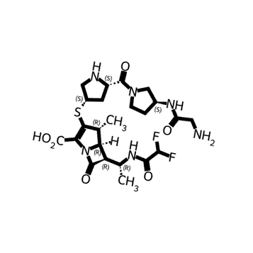 C[C@@H](NC(=O)C(F)F)[C@H]1C(=O)N2C(C(=O)O)=C(S[C@@H]3CN[C@H](C(=O)N4CC[C@H](NC(=O)CN)C4)C3)[C@H](C)[C@@H]12